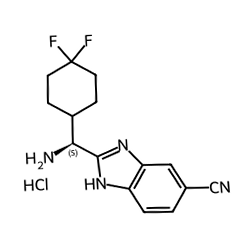 Cl.N#Cc1ccc2[nH]c([C@@H](N)C3CCC(F)(F)CC3)nc2c1